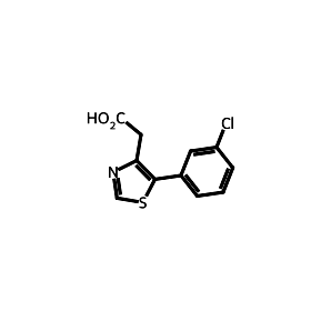 O=C(O)Cc1ncsc1-c1cccc(Cl)c1